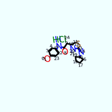 COc1ccc(NC(=O)CC2CSC(=NC3CCCC3)N2C)cc1.Cl